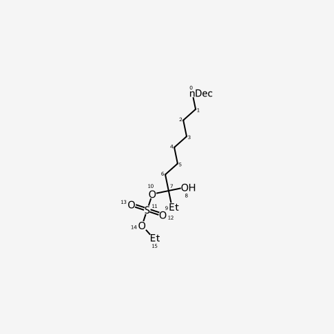 CCCCCCCCCCCCCCCCC(O)(CC)OS(=O)(=O)OCC